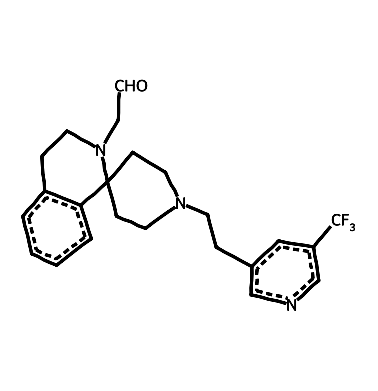 O=CCN1CCc2ccccc2C12CCN(CCc1cncc(C(F)(F)F)c1)CC2